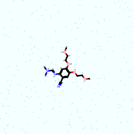 COCCOc1cc(C#N)c(N=CN(C)C)cc1OCCOC